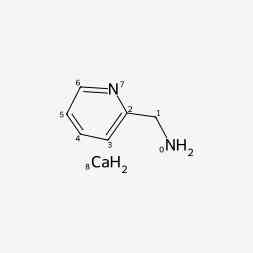 NCc1ccccn1.[CaH2]